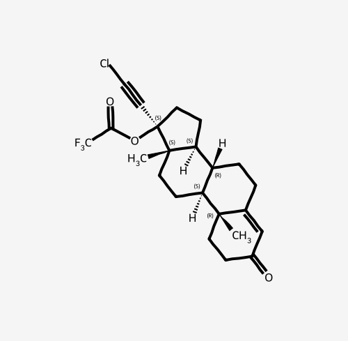 C[C@]12CCC(=O)C=C1CC[C@@H]1[C@@H]2CC[C@@]2(C)[C@H]1CC[C@]2(C#CCl)OC(=O)C(F)(F)F